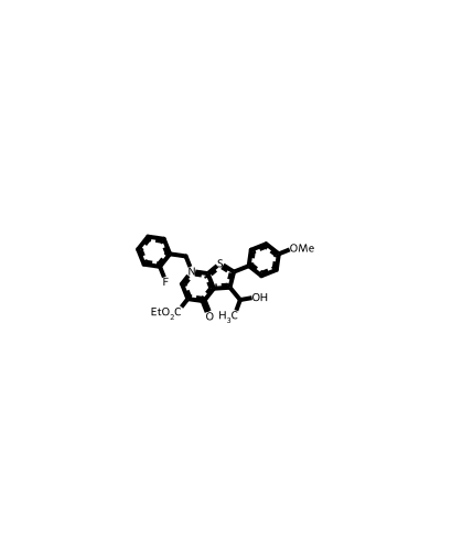 CCOC(=O)c1cn(Cc2ccccc2F)c2sc(-c3ccc(OC)cc3)c(C(C)O)c2c1=O